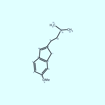 COc1ccc2c(c1)CC(CCN(C)C)=C2